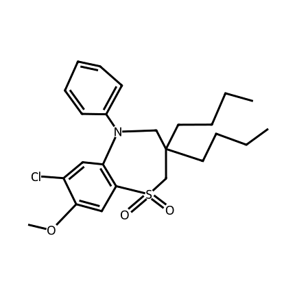 CCCCC1(CCCC)CN(c2ccccc2)c2cc(Cl)c(OC)cc2S(=O)(=O)C1